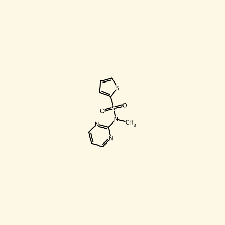 CN(c1ncccn1)S(=O)(=O)c1cccs1